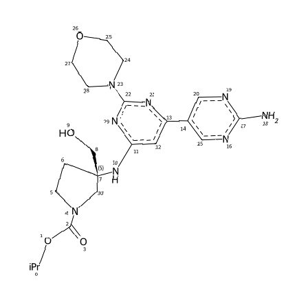 CC(C)OC(=O)N1CC[C@](CO)(Nc2cc(-c3cnc(N)nc3)nc(N3CCOCC3)n2)C1